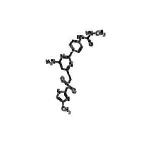 CNC(=O)Nc1ccc(-c2nc(N)cc(CS(=O)(=O)c3nc(C)cs3)n2)cc1